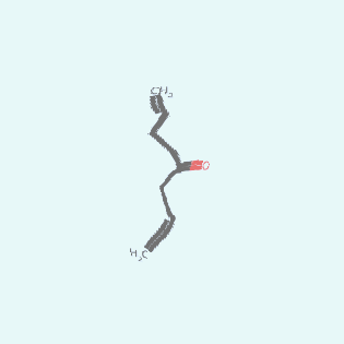 C=C[CH]C(=O)CC=C